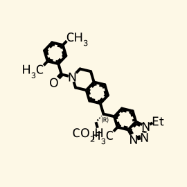 CCn1nnc2c(C)c([C@H](CC(=O)O)c3ccc4c(c3)CN(C(=O)c3cc(C)ccc3C)CC4)ccc21